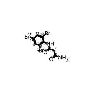 NC(=O)CC(=O)Nc1c(Br)cc(Br)cc1Br